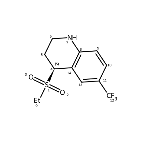 CCS(=O)(=O)[C@H]1CCNc2ccc(C(F)(F)F)cc21